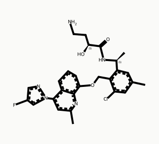 Cc1cc(Cl)c(COc2cccc3c(-n4cc(F)cn4)cc(C)nc23)c([C@H](C)NC(=O)[C@@H](O)CCN)c1